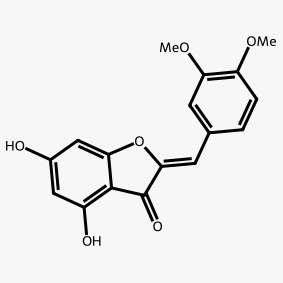 COc1ccc(/C=C2\Oc3cc(O)cc(O)c3C2=O)cc1OC